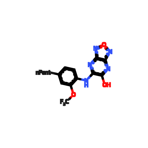 CCCCCc1ccc(Nc2nc3nonc3nc2O)c(OC(F)(F)F)c1